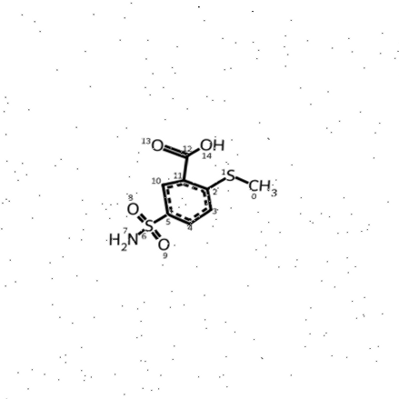 CSc1ccc(S(N)(=O)=O)cc1C(=O)O